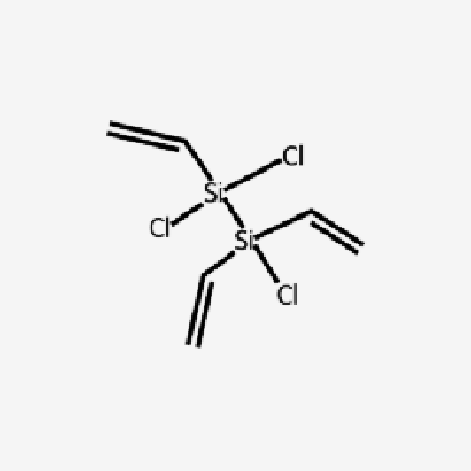 C=C[Si](Cl)(Cl)[Si](Cl)(C=C)C=C